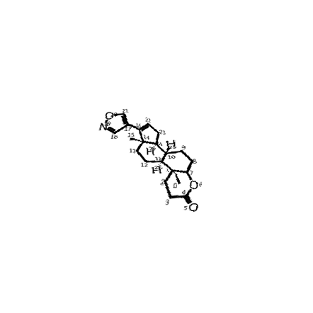 C[C@]12CCC(=O)OC1CC[C@@H]1[C@@H]2CC[C@]2(C)C(c3cnoc3)=CC[C@@H]12